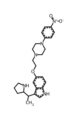 CC(c1c[nH]c2ccc(OCCN3CCN(c4ccc([N+](=O)[O-])cc4)CC3)cc12)C1CCCN1